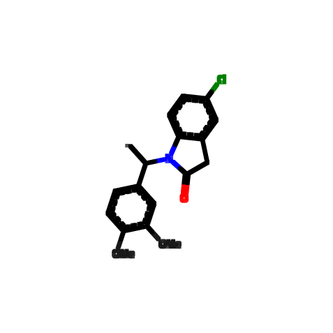 [CH2]C(c1ccc(OC)c(OC)c1)N1C(=O)Cc2cc(Cl)ccc21